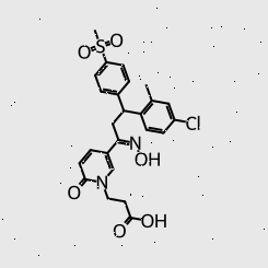 Cc1cc(Cl)ccc1C(C/C(=N/O)c1ccc(=O)n(CCC(=O)O)c1)c1ccc(S(C)(=O)=O)cc1